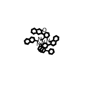 c1ccc(-c2cccc(-c3nc(-c4ccc5ccccc5c4)nc(-c4c(-n5c6cc7ccccc7cc6c6ccc7ccccc7c65)ccc5oc6cc7ccccc7cc6c45)n3)c2)cc1